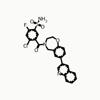 NS(=O)(=O)c1cc(C(=O)N2CCOc3ccc(-c4cnc5ccccc5c4)cc3C2)c(Cl)cc1F